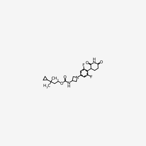 CC(C)(CCOC(=O)NC1CN(c2cc(F)c(C3CCC(=O)NC3=O)c(F)c2)C1)C1CC1